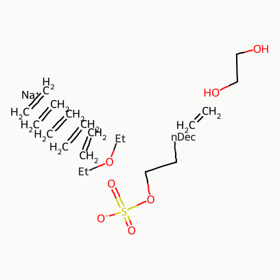 C=C.C=C.C=C.C=C.C=C.C=C.CCCCCCCCCCCCOS(=O)(=O)[O-].CCOCC.OCCO.[Na+]